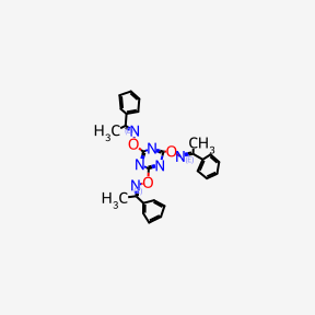 C/C(=N/Oc1nc(O/N=C(\C)c2ccccc2)nc(O/N=C(\C)c2ccccc2)n1)c1ccccc1